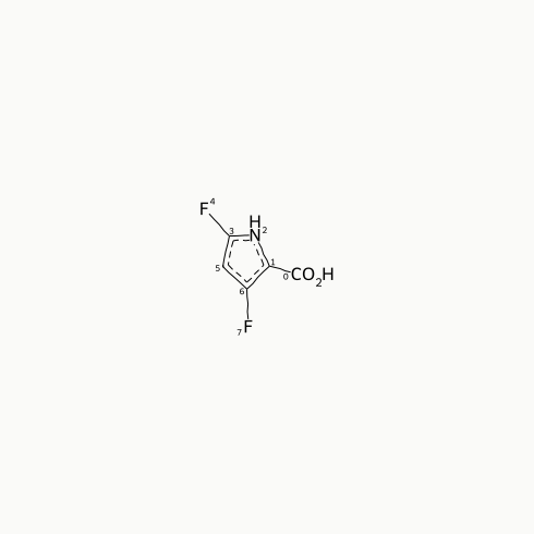 O=C(O)c1[nH]c(F)cc1F